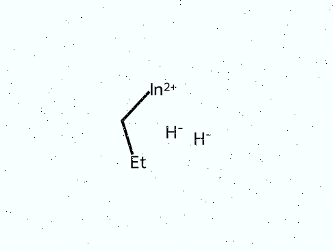 CC[CH2][In+2].[H-].[H-]